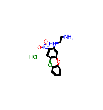 Cl.NCCNc1cc(Oc2ccccc2)c(Cl)cc1[N+](=O)[O-]